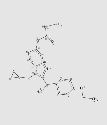 CCOc1ccc(C(C)c2nc3cc(OC(=O)NC)ccc3n2CC2CC2)cc1